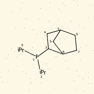 CC(C)P(C(C)C)C1CC2CCC1C2